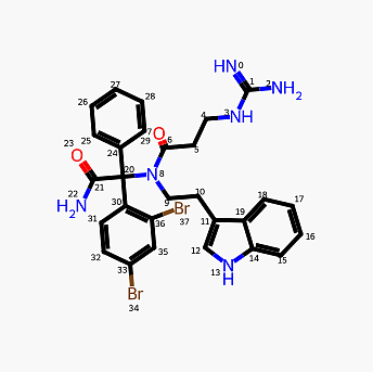 N=C(N)NCCC(=O)N(CCc1c[nH]c2ccccc12)C(C(N)=O)(c1ccccc1)c1ccc(Br)cc1Br